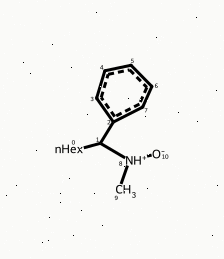 CCCCCCC(c1ccccc1)[NH+](C)[O-]